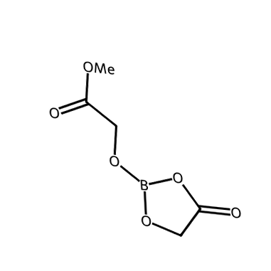 COC(=O)COB1OCC(=O)O1